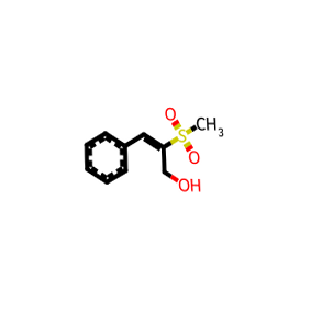 CS(=O)(=O)/C(=C/c1ccccc1)CO